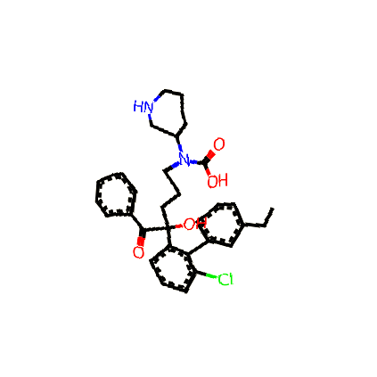 CCc1cccc(-c2c(Cl)cccc2C(O)(CCCN(C(=O)O)C2CCCNC2)C(=O)c2ccccc2)c1